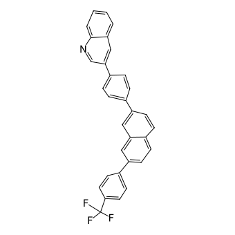 FC(F)(F)c1ccc(-c2ccc3ccc(-c4ccc(-c5cnc6ccccc6c5)cc4)cc3c2)cc1